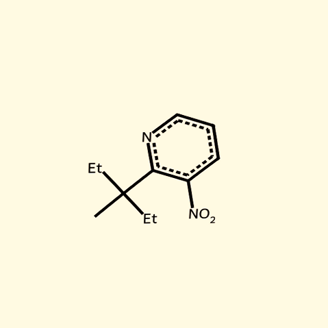 CCC(C)(CC)c1ncccc1[N+](=O)[O-]